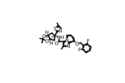 Cc1cnc([C@@]2(NC(=O)c3c(C)nc4c(OCc5c(F)cccc5F)cccn34)C[C@@H]3OC(C)(C)O[C@@H]3C2)s1